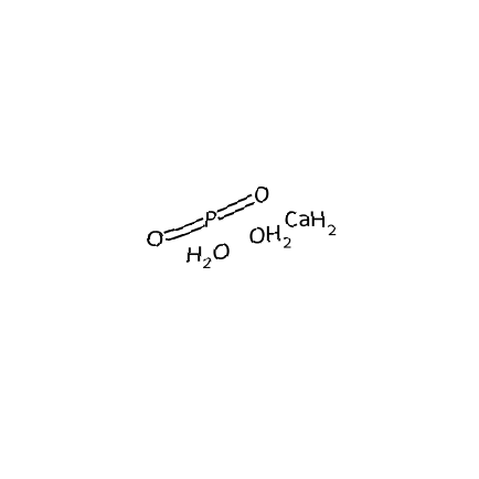 O.O.O=[P]=O.[CaH2]